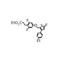 CCOC(=O)CCc1c(F)cc(OCc2sc(F)cc2-c2ccc(CC)cc2)cc1F